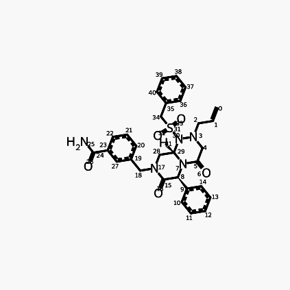 C=CCN1CC(=O)N2[C@@H](c3ccccc3)C(=O)N(Cc3cccc(C(N)=O)c3)C[C@@H]2N1S(=O)(=O)Cc1ccccc1